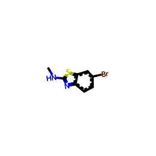 CNc1nc2ccc(Br)cc2s1